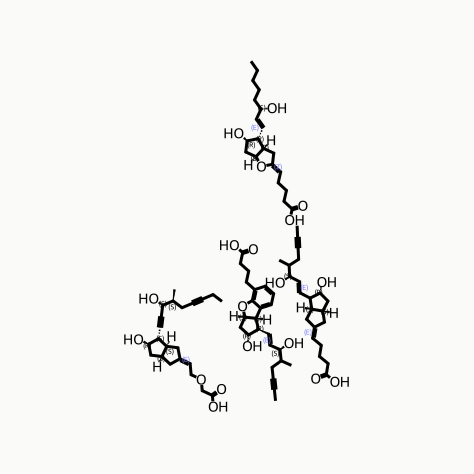 CC#CCC(C)[C@H](O)/C=C/C1[C@H](O)C[C@@H]2C/C(=C\CCCC(=O)O)C[C@H]12.CC#CCC(C)[C@H](O)/C=C/[C@@H]1[C@H]2c3cccc(CCCC(=O)O)c3O[C@H]2C[C@H]1O.CCC#CC[C@H](C)[C@H](O)C#C[C@@H]1[C@H]2C/C(=C/COCC(=O)O)C[C@H]2C[C@H]1O.CCCCC[C@H](O)/C=C/[C@@H]1[C@H]2C/C(=C/CCCC(=O)O)O[C@H]2C[C@H]1O